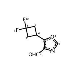 O=Cc1ncoc1C1CC(F)(F)C1